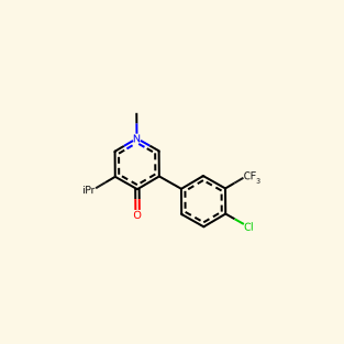 CC(C)c1cn(C)cc(-c2ccc(Cl)c(C(F)(F)F)c2)c1=O